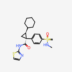 C=S(=O)(NC)c1ccc([C@@]2(C(=O)Nc3nccs3)C[C@H]2C2CCCCC2)cc1